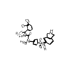 CC(NC(=O)N(O)c1ccc(S(=O)(=O)Nc2ccc3c(c2)CNC3)cc1)c1cccc(Cl)c1Cl